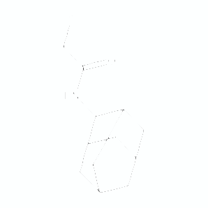 O=C(CCl)NC1C2CC3CC(C2)CC1C3